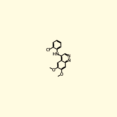 COc1cc2nncc(Nc3ccccc3Cl)c2cc1OC